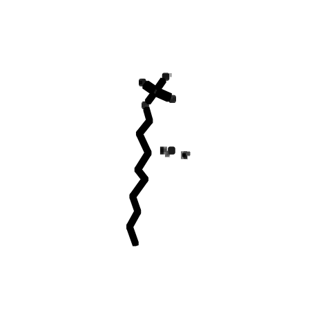 CCCCCCCCCOS(=O)(=O)[O-].O.[K+]